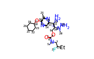 CCC(F)CN(C)C(=O)OC/C(=C(/N)c1cnc(OC2CCCCC2)c(C)n1)N(C)N